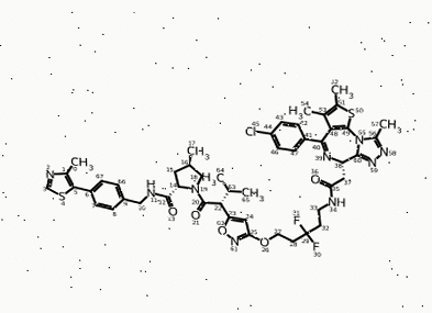 Cc1ncsc1-c1ccc(CNC(=O)[C@@H]2C[C@@H](C)CN2C(=O)[C@@H](c2cc(OCCC(F)(F)CCNC(=O)C[C@@H]3N=C(c4ccc(Cl)cc4)c4c(sc(C)c4C)-n4c(C)nnc43)no2)C(C)C)cc1